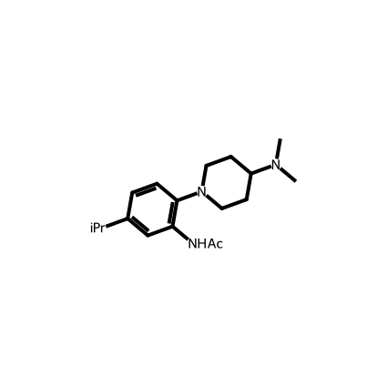 CC(=O)Nc1cc(C(C)C)ccc1N1CCC(N(C)C)CC1